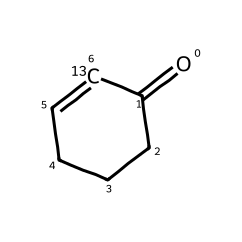 O=C1CCCC=[13CH]1